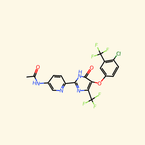 CC(=O)Nc1ccc(-c2nc(C(F)(F)F)c(Oc3ccc(Cl)c(C(F)(F)F)c3)c(=O)[nH]2)nc1